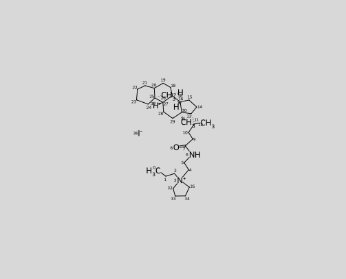 CCC[N+]1(CCNC(=O)CCC(C)[C@H]2CC[C@H]3[C@@H]4CCC5CCCC[C@]5(C)[C@H]4CC[C@]23C)CCCC1.[I-]